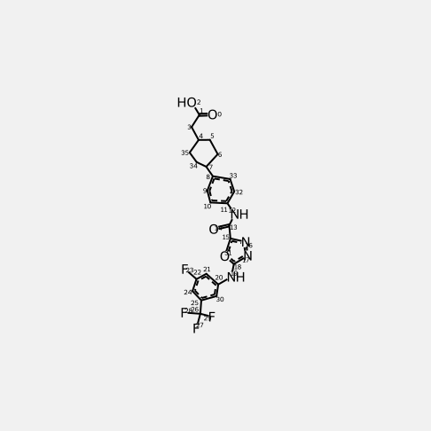 O=C(O)CC1CCC(c2ccc(NC(=O)c3nnc(Nc4cc(F)cc(C(F)(F)F)c4)o3)cc2)CC1